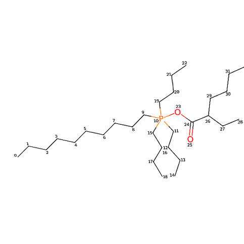 CCCCCCCCCCP(CCCC)(CCCC)(CCCC)OC(=O)C(CC)CCCC